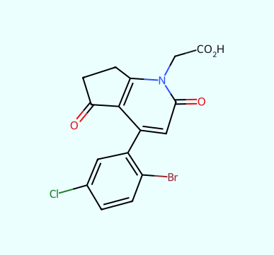 O=C(O)Cn1c2c(c(-c3cc(Cl)ccc3Br)cc1=O)C(=O)CC2